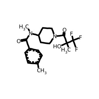 Cc1ccc(C(=O)N(C)C2CCN(C(=O)C(C)(O)C(F)(F)F)CC2)cc1